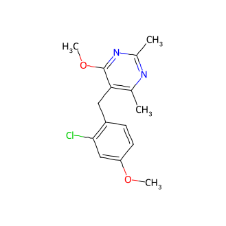 COc1ccc(Cc2c(C)nc(C)nc2OC)c(Cl)c1